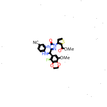 COC(=O)c1sccc1-n1nc(C(Nc2ccc(C#N)cc2)c2cc(OC)c3c(c2F)OCCO3)[nH]c1=O